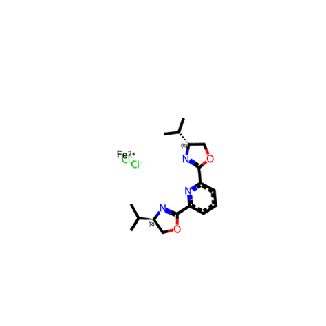 CC(C)[C@@H]1COC(c2cccc(C3=N[C@H](C(C)C)CO3)n2)=N1.[Cl-].[Cl-].[Fe+2]